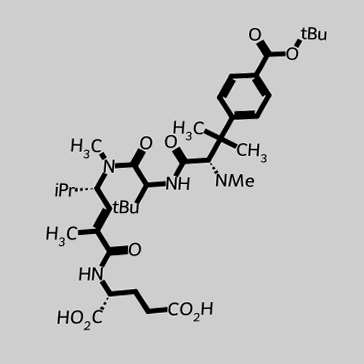 CN[C@H](C(=O)NC(C(=O)N(C)[C@H](/C=C(\C)C(=O)N[C@H](CCC(=O)O)C(=O)O)C(C)C)C(C)(C)C)C(C)(C)c1ccc(C(=O)OC(C)(C)C)cc1